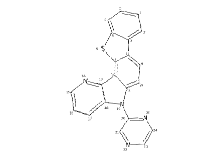 c1ccc2c(c1)sc1c2ccc2c1c1ncccc1n2-c1cnccn1